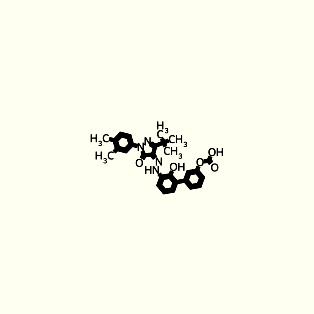 Cc1ccc(N2N=C(C(C)(C)C)C(=NNc3cccc(-c4cccc(OC(=O)O)c4)c3O)C2=O)cc1C